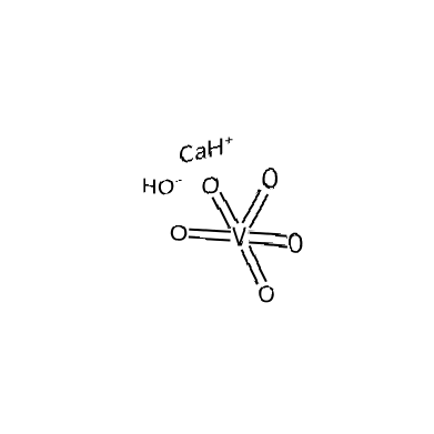 [CaH+].[OH-].[O]=[V](=[O])(=[O])(=[O])=[O]